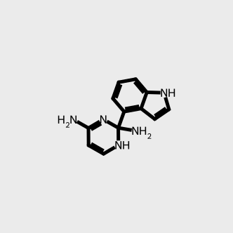 NC1=NC(N)(c2cccc3[nH]ccc23)NC=C1